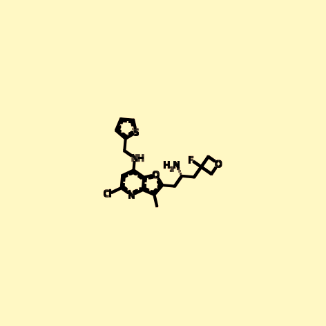 Cc1c(C[C@H](N)CC2(F)COC2)oc2c(NCc3cccs3)cc(Cl)nc12